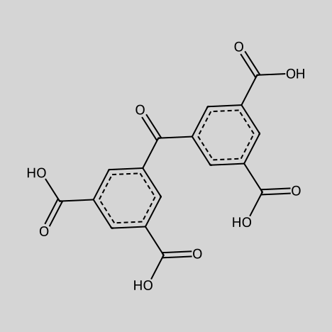 O=C(O)c1cc(C(=O)O)cc(C(=O)c2cc(C(=O)O)cc(C(=O)O)c2)c1